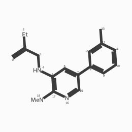 C=C(CC)CNc1cc(-c2cccc(C)c2)cnc1NC